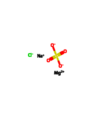 O=S(=O)([O-])[O-].[Cl-].[Mg+2].[Na+]